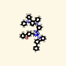 c1ccc(-c2ccc3c(c2)c2ccccc2n3-c2nc(-c3cccc(-n4c5ccccc5c5c6c7ccccc7n(-c7ccccc7)c6ccc54)c3)nc(-c3ccc4c(c3)oc3ccccc34)n2)cc1